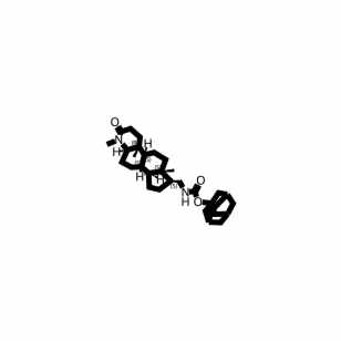 CN1C(=O)CC[C@]2(C)[C@H]3CC[C@]4(C)[C@@H](CNC(=O)OC56CC7CC(CC(C7)C5)C6)CC[C@H]4[C@@H]3CC[C@@H]12